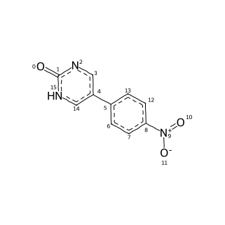 O=c1ncc(-c2ccc([N+](=O)[O-])cc2)c[nH]1